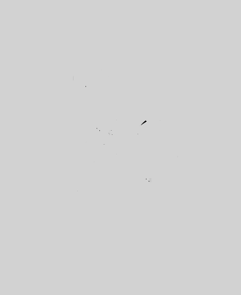 CC(N)C1[C@H](C)CC2(C)C3Cc4ccc(O)cc4C12CCN3C(=O)C(C)(F)F